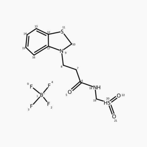 F[B-](F)(F)F.O=C(CCN1CSc2ccccc21)NC[SH](=O)=O